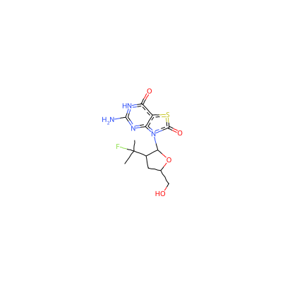 CC(C)(F)C1CC(CO)OC1n1c(=O)sc2c(=O)[nH]c(N)nc21